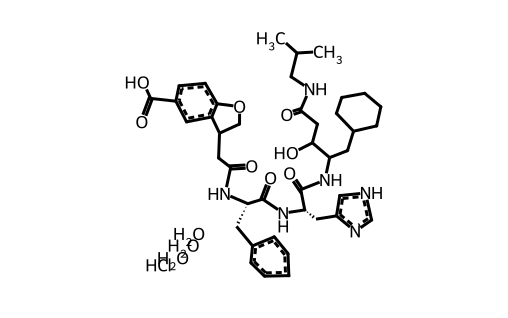 CC(C)CNC(=O)CC(O)C(CC1CCCCC1)NC(=O)[C@H](Cc1c[nH]cn1)NC(=O)[C@H](Cc1ccccc1)NC(=O)CC1COc2ccc(C(=O)O)cc21.Cl.O.O.O